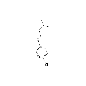 CN(C)CCOc1ccc(Cl)cc1